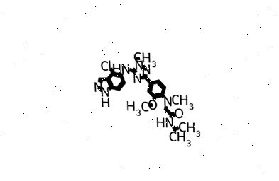 COc1cc(-c2nc(Nc3ccc4[nH]ncc4c3Cl)n(C)n2)ccc1N(C)CC(=O)NC(C)C